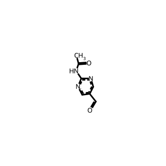 CC(=O)Nc1ncc(C=O)cn1